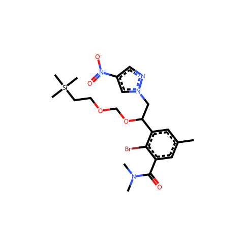 Cc1cc(C(=O)N(C)C)c(Br)c(C(Cn2cc([N+](=O)[O-])cn2)OCOCC[Si](C)(C)C)c1